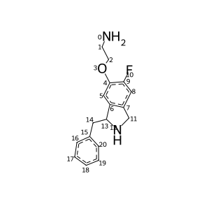 NCCOc1cc2c(cc1F)CNC2Cc1ccccc1